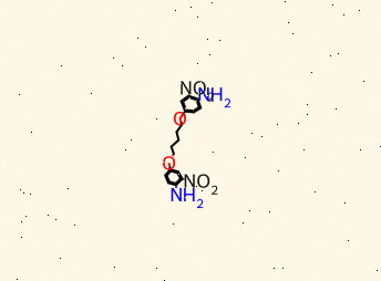 Nc1ccc(OCCCCCOc2ccc(N)c([N+](=O)[O-])c2)cc1[N+](=O)[O-]